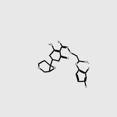 CC/C(=N/OCC(C)Oc1ccc(F)cc1F)C1=C(O)CC(C23CCOCC2O3)CC1=O